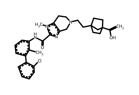 C=C(O)C12CCC(CCN3CCc4c(nc(C(=O)Nc5cccc(-c6ccccc6Cl)c5C)n4C)C3)(CC1)C2